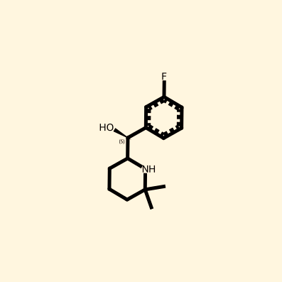 CC1(C)CCCC([C@@H](O)c2cccc(F)c2)N1